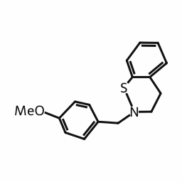 COc1ccc(CN2CCc3ccccc3S2)cc1